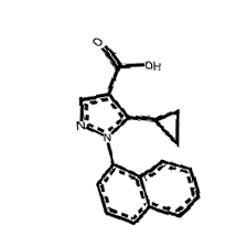 O=C(O)c1cnn(-c2cccc3ccccc23)c1C1CC1